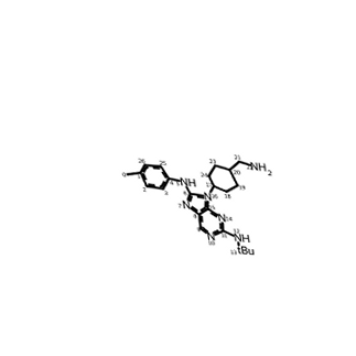 Cc1ccc(Nc2nc3cnc(NC(C)(C)C)nc3n2C2CCC(CN)CC2)cc1